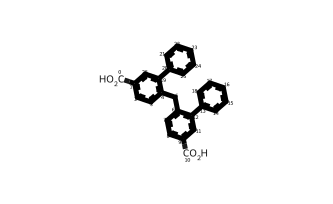 O=C(O)c1ccc(Cc2ccc(C(=O)O)cc2-c2ccccc2)c(-c2ccccc2)c1